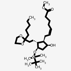 CCCCCC1(CC[C@@H]2[C@@H](C/C=C\CCCC(=O)OC)[C@@H](O)C[C@H]2O[Si](C)(C)C(C)(C)C)OCCO1